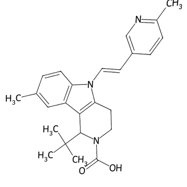 Cc1ccc2c(c1)c1c(n2C=Cc2ccc(C)nc2)CCN(C(=O)O)C1C(C)(C)C